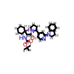 CC(C)(C)OC(=O)N[C@@H](C(=O)N1CCCC1c1ccnc(N2CCc3ccccc32)c1)C1(I)CCCCC1